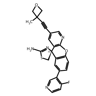 CC1(C#Cc2cnc3c(c2)[C@]2(CSC(N)=N2)c2cc(-c4cnccc4F)ccc2O3)COC1